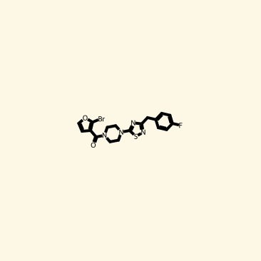 O=C(c1ccoc1Br)N1CCN(c2nc(Cc3ccc(F)cc3)ns2)CC1